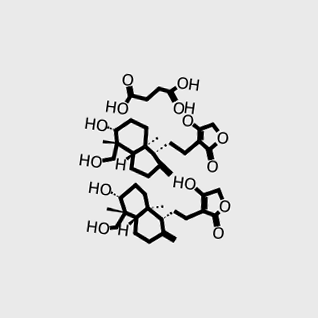 C=C1CC[C@@H]2[C@](C)(CO)[C@H](O)CC[C@@]2(C)[C@@H]1CCC1=C(O)COC1=O.C=C1CC[C@@H]2[C@](C)(CO)[C@H](O)CC[C@@]2(C)[C@@H]1CCC1=C(O)COC1=O.O=C(O)CCC(=O)O